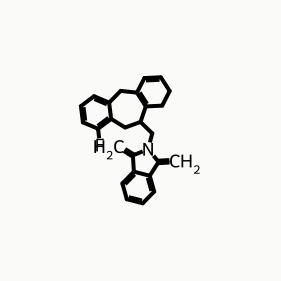 C=c1c2ccccc2c(=C)n1CC1Cc2c(F)cccc2CC2=C1CCC=C2